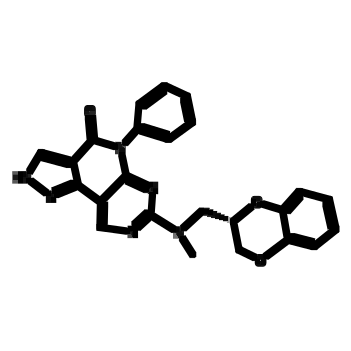 CN(C[C@H]1COc2ccccc2O1)c1ncc2c3n[nH]cc3c(=O)n(-c3ccccc3)c2n1